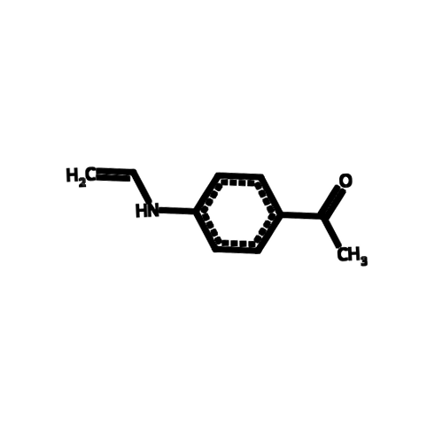 C=CNc1ccc(C(C)=O)cc1